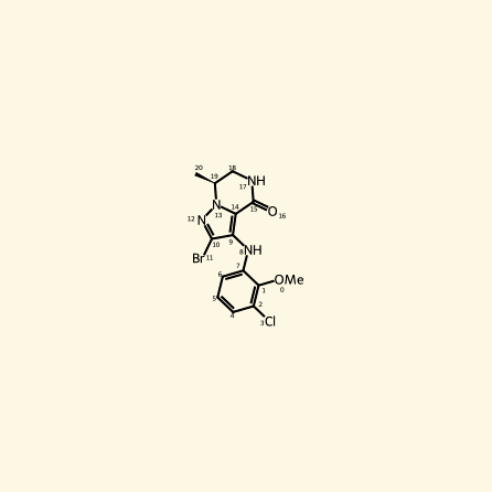 COc1c(Cl)cccc1Nc1c(Br)nn2c1C(=O)NC[C@@H]2C